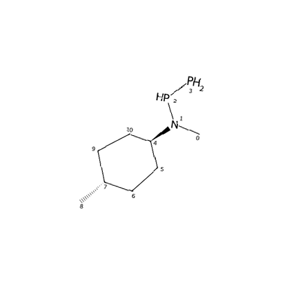 CN(PP)[C@H]1CC[C@H](C)CC1